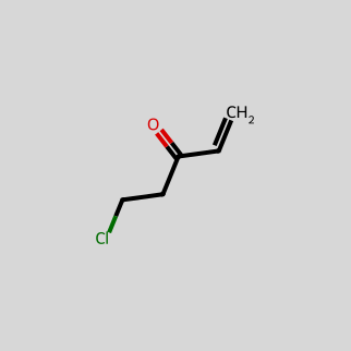 C=CC(=O)CCCl